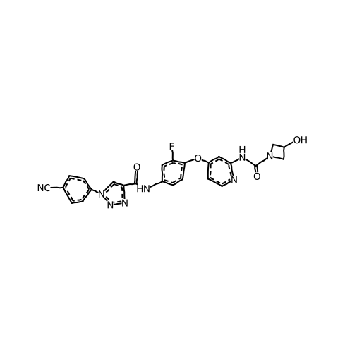 N#Cc1ccc(-n2cc(C(=O)Nc3ccc(Oc4ccnc(NC(=O)N5CC(O)C5)c4)c(F)c3)nn2)cc1